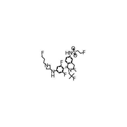 C[C@@H]1Cc2cc(NS(=O)(=O)CCF)ccc2[C@@H](c2c(F)cc(NC3CN(CCCF)C3)cc2F)N1CC(C)(C)F